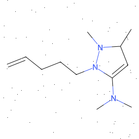 C=CCCCN1C(N(C)C)=CC(C)N1C